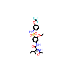 CCOc1cc(NC(=O)[C@@H](NC(C)=O)C(C)CC)ccc1S(=O)(=O)Nc1cccc(OC(F)(F)F)c1